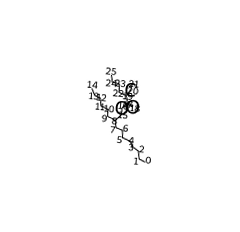 CCCCCCCCC(CCCCCC)COC(=O)C(CC)CCCC